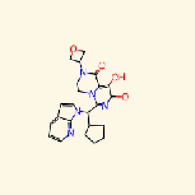 O=C1c2c(O)c(=O)nc(C(C3CCCC3)n3ccc4cccnc43)n2CCN1C1COC1